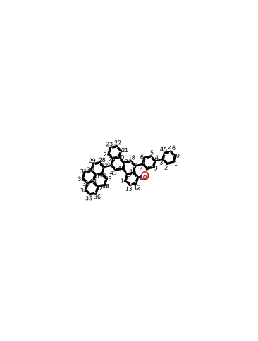 c1ccc(-c2ccc3c(c2)Oc2cccc4c2c-3cc2c3ccccc3c(-c3ccc5ccc6cccc7ccc3c5c67)cc42)cc1